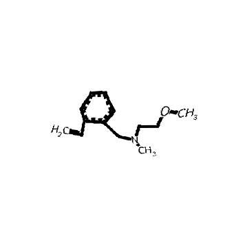 C=Cc1ccccc1CN(C)CCOC